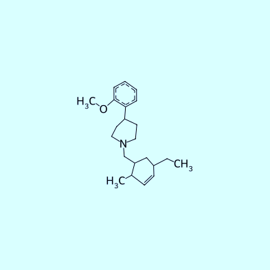 CCC1C=CC(C)C(CN2CCC(c3ccccc3OC)CC2)C1